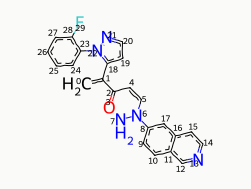 C=C(C(=O)/C=C\N(N)c1ccc2cnccc2c1)c1ccnn1-c1ccccc1F